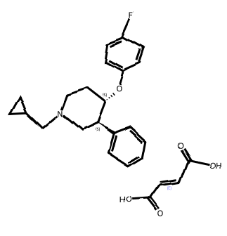 Fc1ccc(O[C@H]2CCN(CC3CC3)C[C@@H]2c2ccccc2)cc1.O=C(O)/C=C/C(=O)O